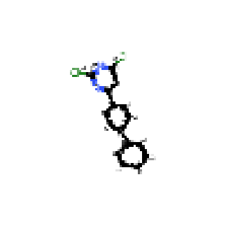 Clc1cc(-c2ccc(-c3ccccc3)cc2)nc(Cl)n1